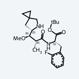 CO[C@@H]([C@@H]1CC2(CC2)CN1)[C@@H](C)C(=O)N[C@@H](Cc1ccccc1F)C(=O)OC(C)(C)C